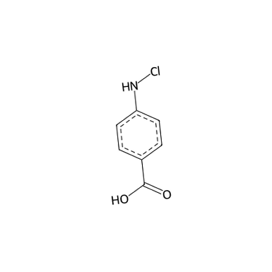 O=C(O)c1ccc(NCl)cc1